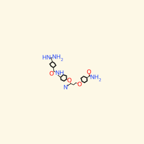 N#CC(CCOc1ccc(C(N)=O)cc1)Oc1ccc(CNC(=O)c2ccc(C(=N)N)cc2)cc1